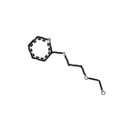 [O]COCCSc1ccccn1